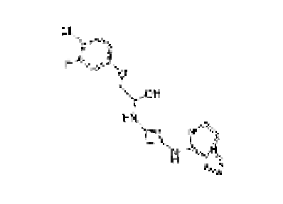 OC(COc1ccc(Cl)c(F)c1)NC12CC(Nc3nccn4cccc34)(C1)C2